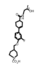 C[C@@H](O)CNC(=O)C1CC=C(c2ccc(OCC3CCN(C(=O)O)CC3)c(F)c2)CC1